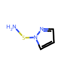 NSn1cccn1